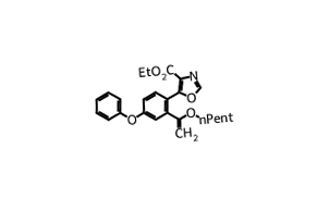 C=C(OCCCCC)c1cc(Oc2ccccc2)ccc1-c1ocnc1C(=O)OCC